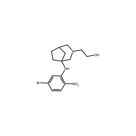 O=[N+]([O-])c1ccc(Br)cc1NC12CCC(CN(CCO)C1)C2